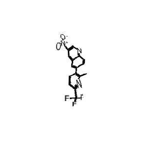 Cc1nc(C(F)(F)F)ccc1-c1ccc2ncc([N+](=O)[O-])cc2c1